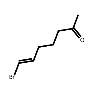 CC(=O)CCCC=CBr